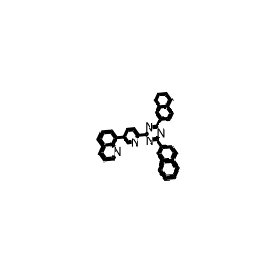 c1ccc2cc(-c3nc(-c4ccc5ccccc5c4)nc(-c4ccc(-c5cccc6cccnc56)cn4)n3)ccc2c1